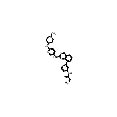 C=CC(=O)Nc1ccnc(-c2cccc3cnc(Nc4ccc(NC5CCN(C)CC5)nc4)nc23)c1